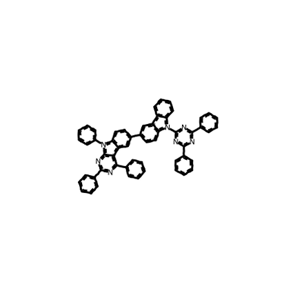 c1ccc(-c2nc(-c3ccccc3)nc(-n3c4ccccc4c4cc(-c5ccc6c(c5)c5c(-c7ccccc7)nc(-c7ccccc7)nc5n6-c5ccccc5)ccc43)n2)cc1